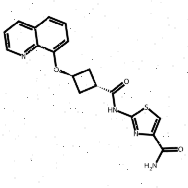 NC(=O)c1csc(NC(=O)[C@H]2C[C@H](Oc3cccc4cccnc34)C2)n1